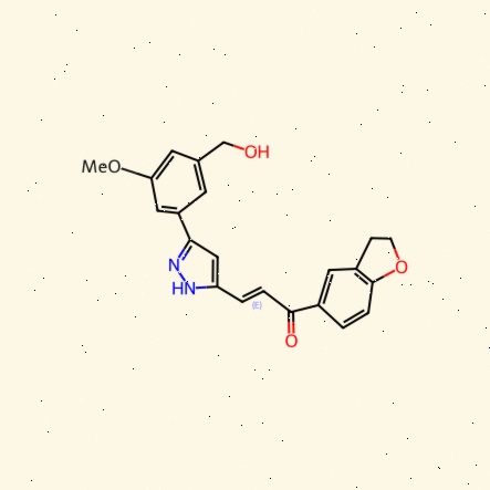 COc1cc(CO)cc(-c2cc(/C=C/C(=O)c3ccc4c(c3)CCO4)[nH]n2)c1